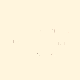 Cn1c(=O)[nH]c(S)c(C(=N)CC(N)=O)c1=O